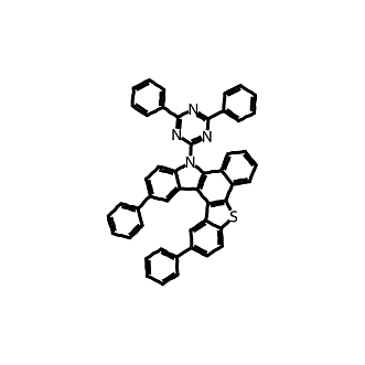 c1ccc(-c2ccc3sc4c5ccccc5c5c(c6cc(-c7ccccc7)ccc6n5-c5nc(-c6ccccc6)nc(-c6ccccc6)n5)c4c3c2)cc1